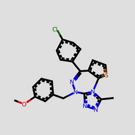 COc1cccc(CN2N=C(c3ccc(Cl)cc3)c3ccsc3-n3c(C)nnc32)c1